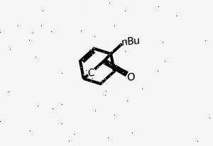 CCCCC12C=CC(CC1)CC2=O